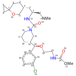 CNC[C@H](C[C@H]1CCC2(CC2)OC1)NC(=O)N1CCC[C@@H]([C@@H](OCCNC(=O)OC)c2cccc(Cl)c2)C1